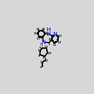 CCC[C@H]1CC[C@H](CN2Cc3cccnc3Nc3ccccc32)CC1